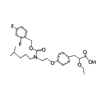 CCOC(Cc1ccc(OCCN(CCCC(C)C)C(=O)OCc2ccc(F)cc2F)cc1)C(=O)O